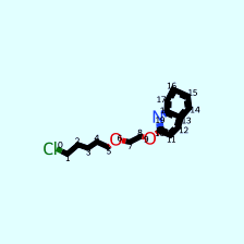 ClCCCCCOCCOc1ccc2ccccc2n1